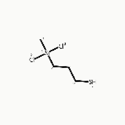 C[Si](Cl)(Cl)CCCS